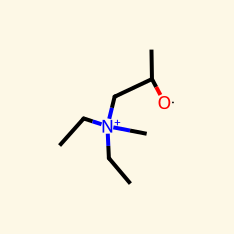 CC[N+](C)(CC)CC(C)[O]